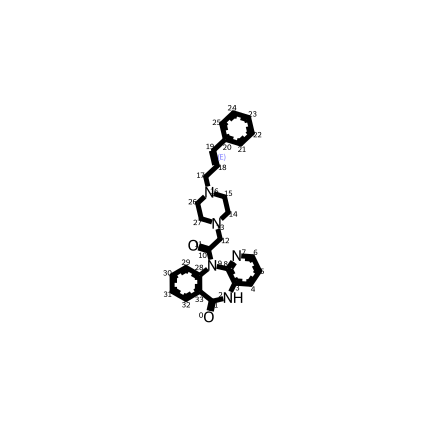 O=C1Nc2cccnc2N(C(=O)CN2CCN(C/C=C/c3ccccc3)CC2)c2ccccc21